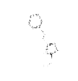 NCc1ccc(CNc2cccc(Cl)c2)s1